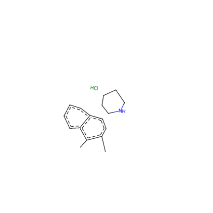 C1CCNCC1.Cc1ccc2ccccc2c1C.Cl